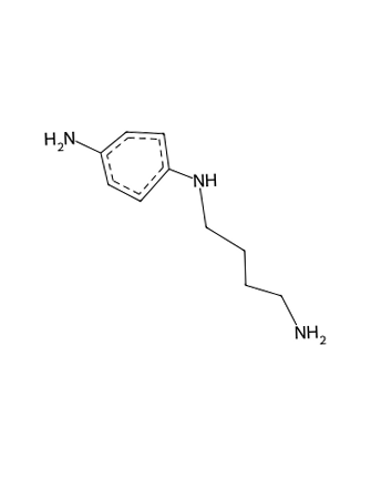 NCCCCNc1ccc(N)cc1